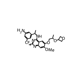 COc1cc2nc(C)nc(NC(C)c3cc(N)cc(C(F)(F)F)c3)c2cc1OCC(C)OC1COC1